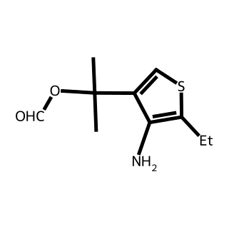 CCc1scc(C(C)(C)OC=O)c1N